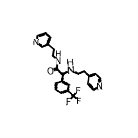 O=C(NCCc1cccnc1)C(NCCc1ccncc1)c1cccc(C(F)(F)F)c1